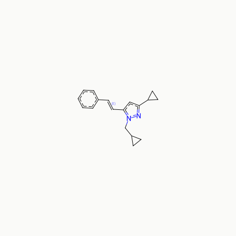 C(=C\c1cc(C2CC2)nn1CC1CC1)/c1ccccc1